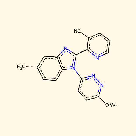 COc1ccc(-n2c(-c3ncccc3C#N)nc3cc(C(F)(F)F)ccc32)nn1